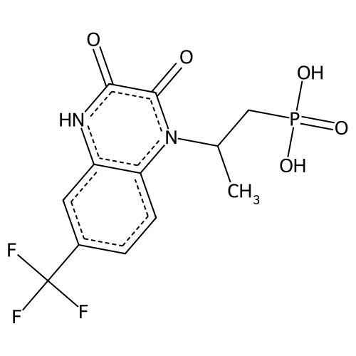 CC(CP(=O)(O)O)n1c(=O)c(=O)[nH]c2cc(C(F)(F)F)ccc21